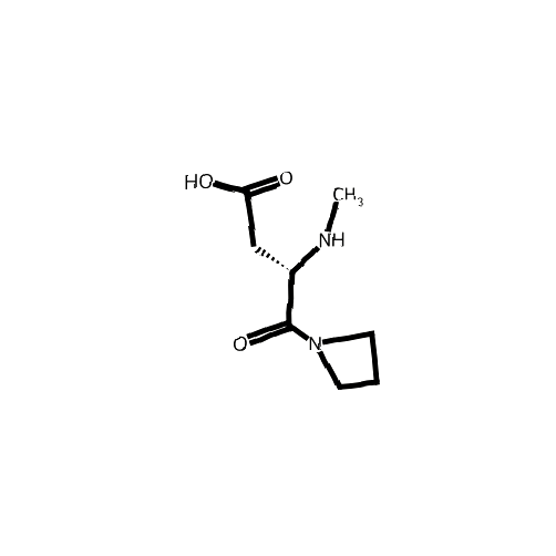 CN[C@@H](CC(=O)O)C(=O)N1CCC1